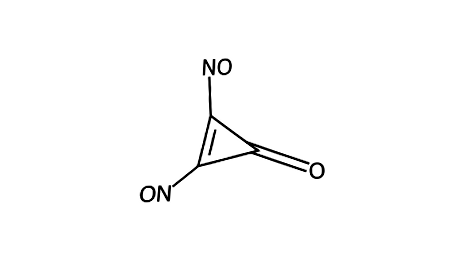 O=Nc1c(N=O)c1=O